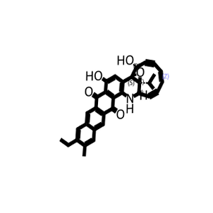 CCc1cc2cc3c(cc2cc1C)C(=O)c1c2c(cc(O)c1C3=O)[C@@]13O[C@@]1(C(C)C)[C@H](C#C/C=C\C#C[C@H]3O)N2